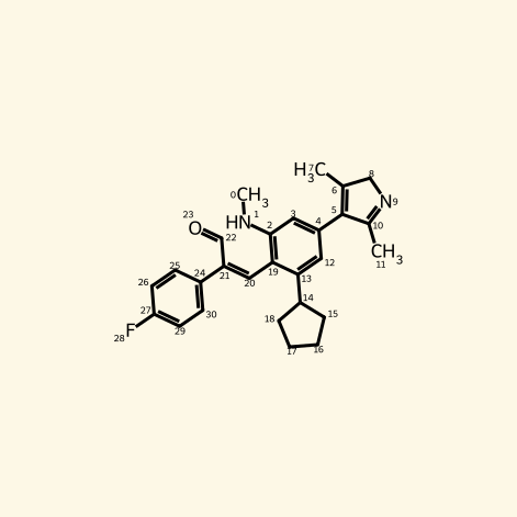 CNc1cc(C2=C(C)CN=C2C)cc(C2CCCC2)c1/C=C(\C=O)c1ccc(F)cc1